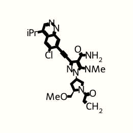 C=CC(=O)N1C[C@@H](n2nc(C#Cc3cc4nncc(C(C)C)c4cc3Cl)c(C(N)=O)c2NC)C[C@@H]1COC